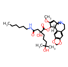 CCCCCCNC(=O)C[C@](O)(CCCC(C)(C)O)C(=O)OC1C(OC)=CC23CCCN2CCc2cc4c(cc2[C@H]13)OCO4